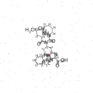 Cc1[nH]c(C[C@@H](Cc2c[nH]c3ccccc23)N(C(=O)[C@@H](N)CC(C)C)C(=O)N2CCCCCC2)nc1C(=O)O